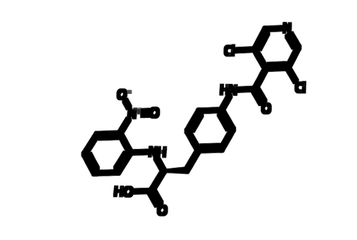 O=C(Nc1ccc(C[C@H](Nc2ccccc2[N+](=O)[O-])C(=O)O)cc1)c1c(Cl)cncc1Cl